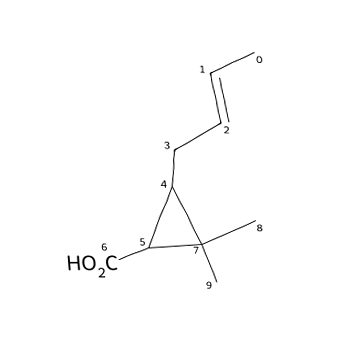 CC=CCC1C(C(=O)O)C1(C)C